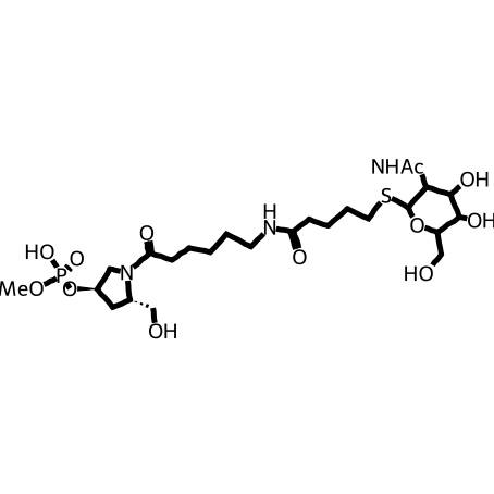 COP(=O)(O)O[C@@H]1C[C@@H](CO)N(C(=O)CCCCCNC(=O)CCCCSC2OC(CO)C(O)C(O)C2NC(C)=O)C1